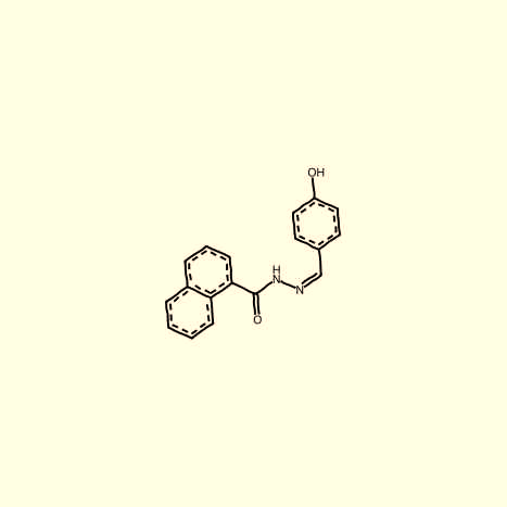 O=C(N/N=C\c1ccc(O)cc1)c1cccc2ccccc12